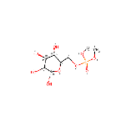 COP(=O)(OC)OCC1O[C@H](O)C(O)[C@@H](O)[C@@H]1O